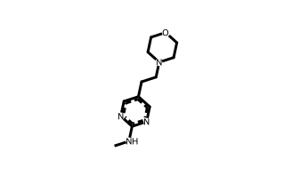 CNc1ncc(CCN2CCOCC2)cn1